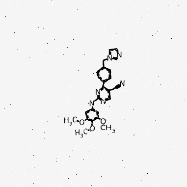 COc1cc([N]c2ncc(C#N)c(-c3ccc(Cn4ccnc4)cc3)n2)cc(OC)c1OC